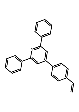 C=Cc1ccc(-c2cc(-c3ccccc3)nc(-c3ccccc3)c2)cc1